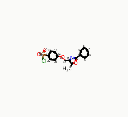 Cc1oc(-c2ccccc2)nc1COc1ccc(S(=O)(=O)Cl)cc1